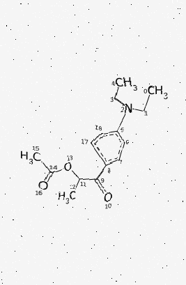 CCN(CC)c1ccc(C(=O)C(C)OC(C)=O)cc1